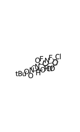 CC(C)(C)OC(=O)N1CCN2C(=O)c3c(F)nc(-c4c(O)ccc(Cl)c4F)c(Cl)c3OC[C@H]2C1